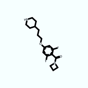 O=C(c1c(F)cc(OCCCC2CCNCC2)cc1F)N1CCC1